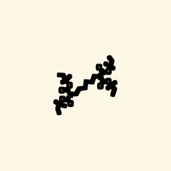 CCC(C)(C)OC(=O)N(CCCCCCN(C(=O)OC(C)(C)CC)C(=O)OC(C)(C)CC)C(=O)OC(C)(C)CC